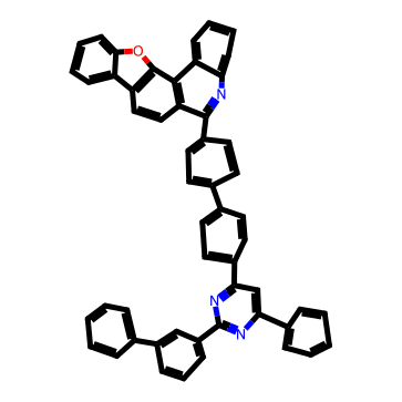 c1ccc(-c2cccc(-c3nc(-c4ccccc4)cc(-c4ccc(-c5ccc(-c6nc7ccccc7c7c6ccc6c8ccccc8oc67)cc5)cc4)n3)c2)cc1